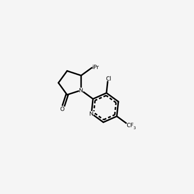 CC(C)C1CCC(=O)N1c1ncc(C(F)(F)F)cc1Cl